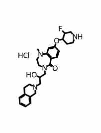 CN1CCN(CC(O)CN2CCc3ccccc3C2)C(=O)c2ccc(OC3CCNCC3F)cc21.Cl